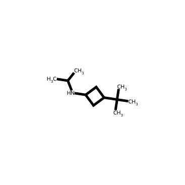 CC(C)NC1CC(C(C)(C)C)C1